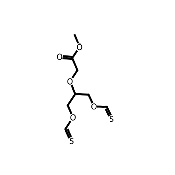 COC(=O)COC(COC=S)COC=S